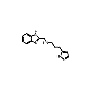 c1ccc2[nH]c(CNCCCc3ccn[nH]3)nc2c1